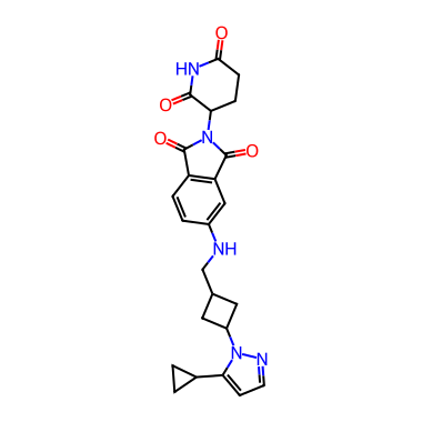 O=C1CCC(N2C(=O)c3ccc(NCC4CC(n5nccc5C5CC5)C4)cc3C2=O)C(=O)N1